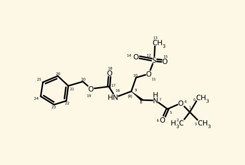 CC(C)(C)OC(=O)NC[C@H](COS(C)(=O)=O)NC(=O)OCc1ccccc1